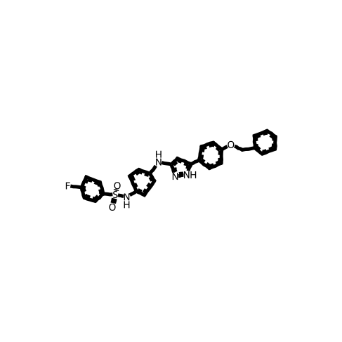 O=S(=O)(Nc1ccc(Nc2cc(-c3ccc(OCc4ccccc4)cc3)[nH]n2)cc1)c1ccc(F)cc1